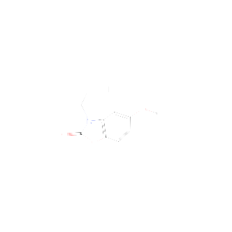 O=C(O)Cn1c(=O)oc2ccc(OC(F)(F)F)cc21